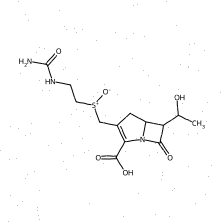 CC(O)C1C(=O)N2C(C(=O)O)=C(C[S+]([O-])CCNC(N)=O)CC12